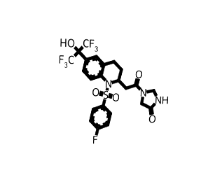 O=C1CN(C(=O)CC2CCc3cc(C(O)(C(F)(F)F)C(F)(F)F)ccc3N2S(=O)(=O)c2ccc(F)cc2)CN1